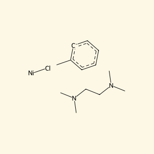 CN(C)CCN(C)C.Cc1[c-]cccc1.[Cl][Ni]